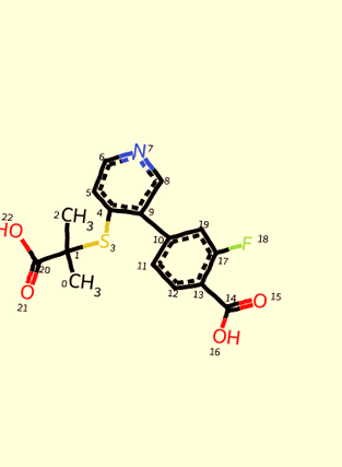 CC(C)(Sc1ccncc1-c1ccc(C(=O)O)c(F)c1)C(=O)O